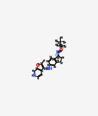 Cc1oc2cnccc2c1Nc1ccc2c(c1)CC/C2=N\O[Si](C)(C)C(C)(C)C